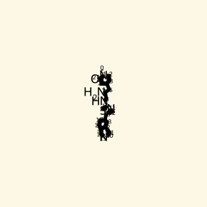 Cn1ccc(C[C@H](N)CNc2ncc(-c3ccc4cnccc4c3)s2)cc1=O